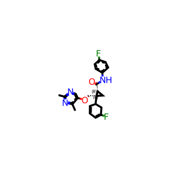 Cc1ncc(OC[C@@]2(C3C=CC=C(F)C3)C[C@H]2C(=O)Nc2ccc(F)cc2)c(C)n1